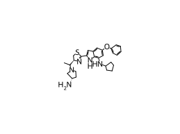 CC([C@H]1CSC(c2cc3cc(Oc4ccccc4)cc(NC4CCCC4)c3[nH]2)=N1)N1CC[C@H](N)C1